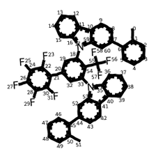 Cc1ccccc1-c1ccc2c3ccccc3n(-c3cc(-c4c(F)c(F)c(F)c(F)c4F)cc(-n4c5ccccc5c5ccc(-c6ccccc6C)cc54)c3C(F)(F)F)c2c1